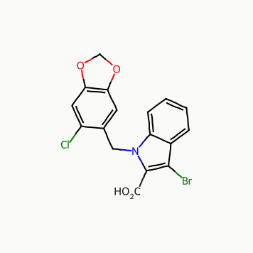 O=C(O)c1c(Br)c2ccccc2n1Cc1cc2c(cc1Cl)OCO2